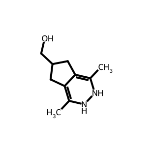 CC1=C2CC(CO)CC2=C(C)NN1